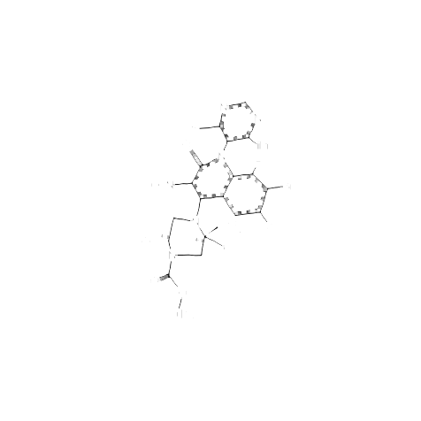 CC(C)c1ncnc(C(C)C)c1-n1c(=O)c([N+](=O)[O-])c(N2C[C@@H](C)N(C(=O)OC(C)(C)C)C[C@]2(C)C(=O)O)c2cc(Cl)c(Br)c(F)c21